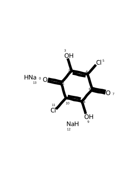 O=C1C(O)=C(Cl)C(=O)C(O)=C1Cl.[NaH].[NaH]